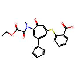 CCOC(=O)C(=O)N(C)c1cc(-c2ccccc2)cc(Sc2ccccc2C(=O)O)cc1=O